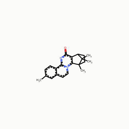 Cc1ccc2c(ccn3c4c(c(=O)nc23)C2CCC4(C)C2(C)C)c1